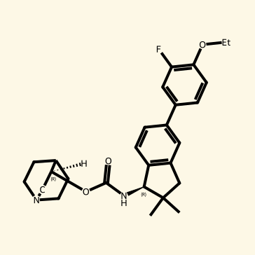 CCOc1ccc(-c2ccc3c(c2)CC(C)(C)[C@H]3NC(=O)O[C@H]2CN3CCC2CC3)cc1F